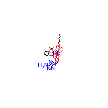 CCCCCCOC(=O)C(C)(C)NP(=O)(COC(C)Cn1cnc2c(N)ncnc21)OC(Cc1ccccc1)C(=O)OC(C)C